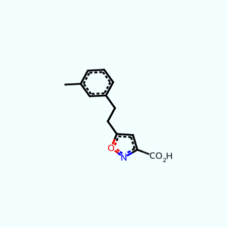 Cc1cccc(CCc2cc(C(=O)O)no2)c1